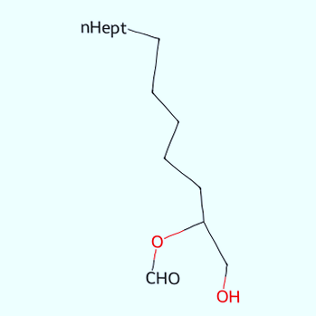 CCCCCCCCCCCCC(CO)OC=O